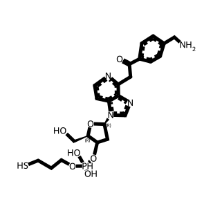 NCc1ccc(C(=O)Cc2nccc3c2ncn3[C@H]2CC(O[PH](O)(O)OCCCS)[C@@H](CO)O2)cc1